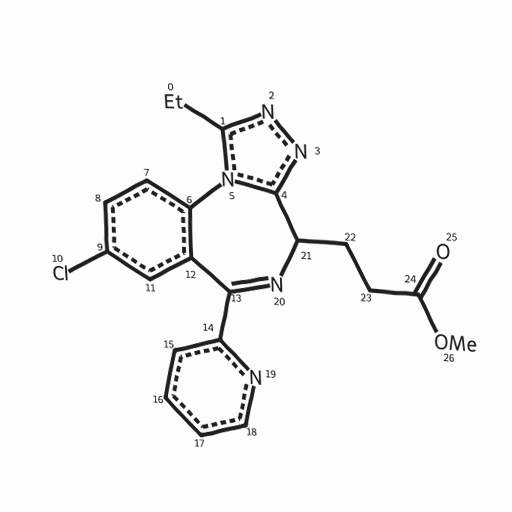 CCc1nnc2n1-c1ccc(Cl)cc1C(c1ccccn1)=NC2CCC(=O)OC